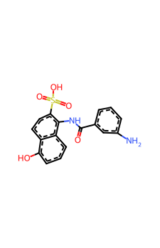 Nc1cccc(C(=O)Nc2c(S(=O)(=O)O)ccc3c(O)cccc23)c1